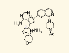 CC(=O)N1CCN(c2nccc3ccc(-c4cc(/C(=C/N)N(N)C5CCOCC5)c5c(N)ncnn45)cc23)CC1